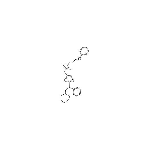 C[N+](C)(CCCOc1ccccc1)Cc1cnc(C(CC2CCCCC2)c2ccccc2)o1